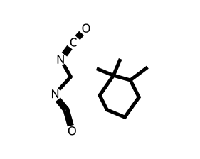 CC1CCCCC1(C)C.O=C=NCN=C=O